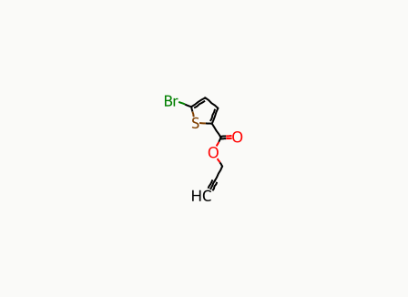 C#CCOC(=O)c1ccc(Br)s1